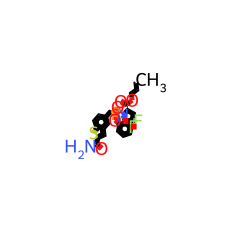 CCCCOC(=O)[C@@H]1CC(F)(F)CN1P(=O)(Cc1ccc2sc(C(N)=O)cc2c1)Oc1ccccc1